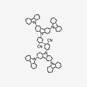 N#Cc1ccc(-n2c3ccc(-n4c5ccccc5c5ccccc54)cc3c3cc(-n4c5ccccc5c5ccccc54)ccc32)cc1-c1cc(-n2c3ccc(-n4c5ccccc5c5ccccc54)cc3c3cc(-n4c5ccccc5c5ccccc54)ccc32)ccc1C#N